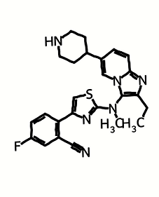 CCc1nc2ccc(C3CCNCC3)cn2c1N(C)c1nc(-c2ccc(F)cc2C#N)cs1